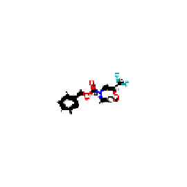 O=C(OCc1ccccc1)N1CCO[C@H](C(F)F)C1